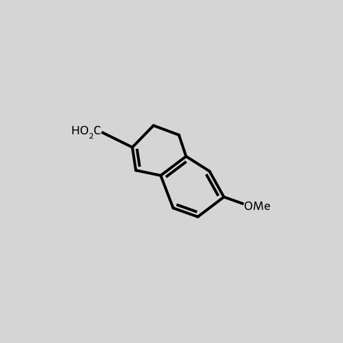 COc1ccc2c(c1)CCC(C(=O)O)=C2